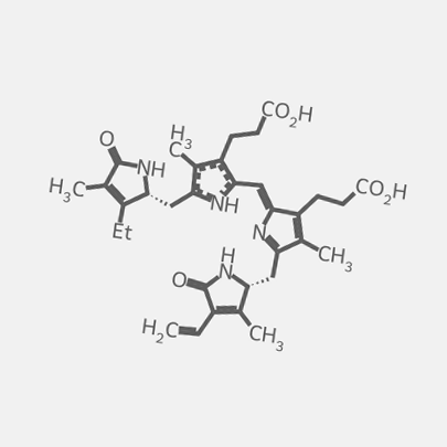 C=CC1=C(C)[C@@H](CC2=N/C(=C\c3[nH]c(C[C@H]4NC(=O)C(C)=C4CC)c(C)c3CCC(=O)O)C(CCC(=O)O)=C2C)NC1=O